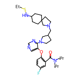 CCSNC1CCC2(CC1)CCN(CC1CCN(c3ncncc3Oc3ccc(F)cc3C(=O)N(C(C)C)C(C)C)C1)C2